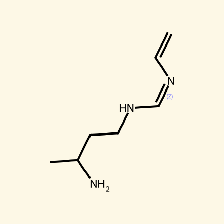 C=C/N=C\NCCC(C)N